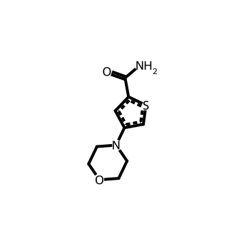 NC(=O)c1cc(N2CCOCC2)cs1